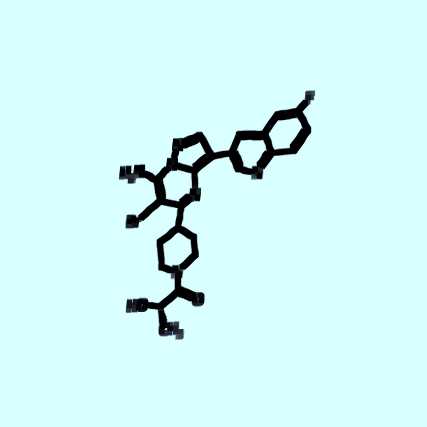 C[C@@H](O)C(=O)N1CCC(c2nc3c(-c4cnc5ccc(F)cc5c4)cnn3c(N)c2Br)CC1